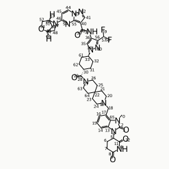 Cn1c(=O)n(C2CCC(=O)NC2=O)c2cccc(CN3CCC4(CC3)CCN(C(=O)[C@H]3CC[C@H](n5cc(NC(=O)c6cnn7ccc(N8C[C@H]9C[C@@H]8CO9)nc67)c(C(F)F)n5)CC3)CC4)c21